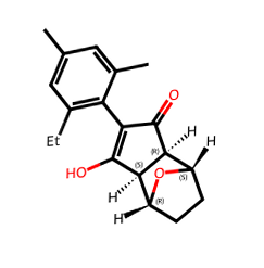 CCc1cc(C)cc(C)c1C1=C(O)[C@H]2[C@@H](C1=O)[C@@H]1CC[C@H]2O1